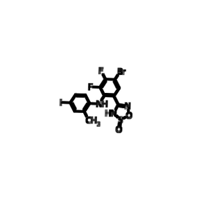 Cc1cc(I)ccc1Nc1c(C2=NOS(=O)N2)cc(Br)c(F)c1F